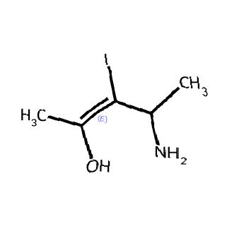 C/C(O)=C(\I)C(C)N